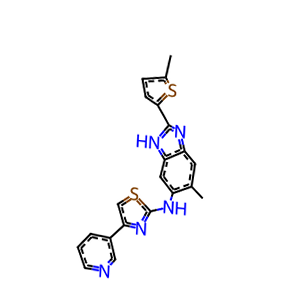 Cc1ccc(-c2nc3cc(C)c(Nc4nc(-c5cccnc5)cs4)cc3[nH]2)s1